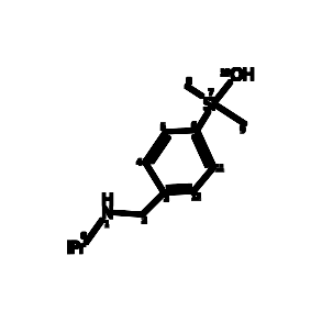 CC(C)NCc1ccc([Si](C)(C)O)cc1